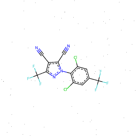 N#Cc1c(C(F)(F)F)nn(-c2c(Cl)cc(C(F)(F)F)cc2Cl)c1C#N